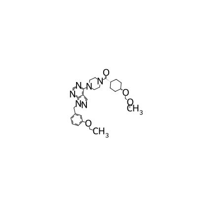 CCOc1cccc(Cn2ncc3c(N4CCN(C(=O)[C@H]5CC[C@H](OCOC)CC5)CC4)ncnc32)c1